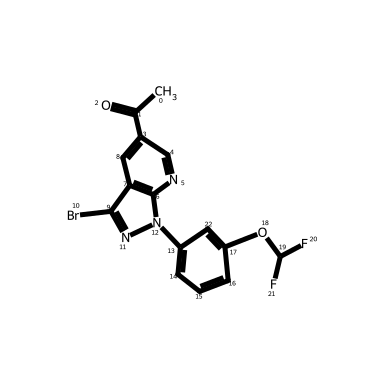 CC(=O)c1cnc2c(c1)c(Br)nn2-c1cccc(OC(F)F)c1